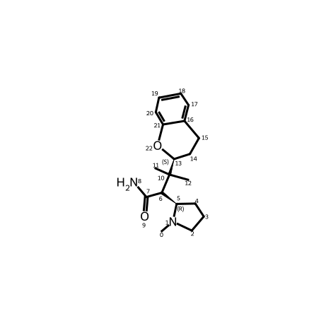 CN1CCC[C@@H]1C(C(N)=O)C(C)(C)[C@@H]1CCc2ccccc2O1